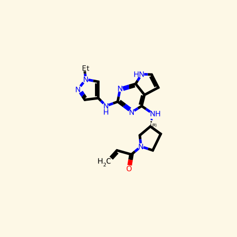 C=CC(=O)N1CC[C@@H](Nc2nc(Nc3cnn(CC)c3)nc3[nH]ccc23)C1